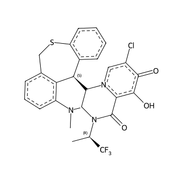 C[C@@H](N1CC([C@@H]2c3ccccc3SCc3cccc(N(C)C)c32)n2cc(Cl)c(=O)c(O)c2C1=O)C(F)(F)F